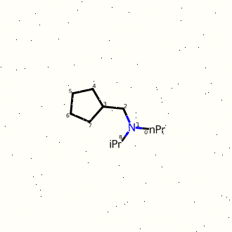 CCCN(CC1CCCC1)C(C)C